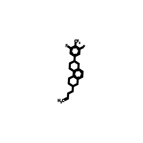 C=CCCC1CCc2c(ccc3c2CCC(c2cc(F)c(C(F)(F)F)c(F)c2)C3)C1